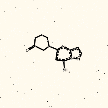 Nc1cc(C2CCCC(=O)C2)nc2ccnn12